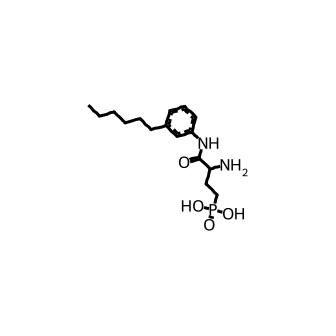 CCCCCCc1cccc(NC(=O)C(N)CCP(=O)(O)O)c1